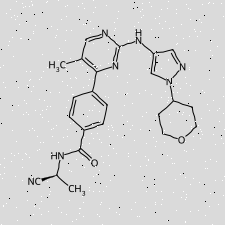 Cc1cnc(Nc2cnn(C3CCOCC3)c2)nc1-c1ccc(C(=O)N[C@@H](C)C#N)cc1